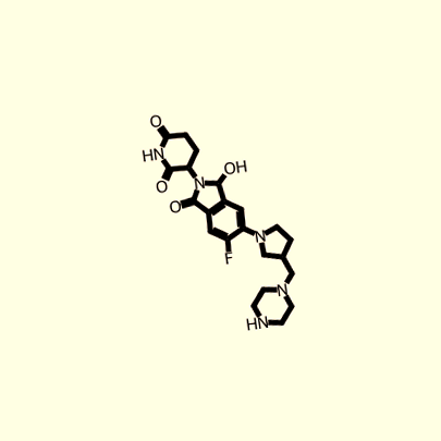 O=C1CCC(N2C(=O)c3cc(F)c(N4CCC(CN5CCNCC5)C4)cc3C2O)C(=O)N1